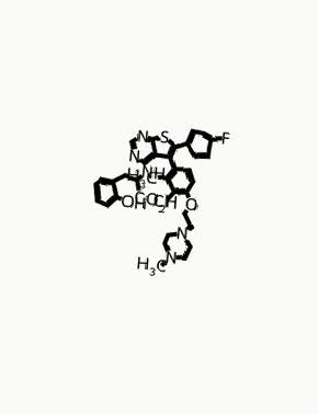 Cc1c(-c2c(-c3ccc(F)cc3)sc3ncnc(NC(Cc4ccccc4O)C(=O)O)c23)ccc(OCCN2CCN(C)CC2)c1Cl